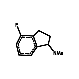 CNC1CCc2c(F)cccc21